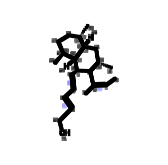 C/C=C(/C)C1[C@@H](/C=C/C=C/CO)[C@H]2[C@@H](C[C@@H]1C)[C@@H](C)CC[C@@H]2C